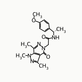 COc1ccc([C@H](C)NC(=O)Cn2nc(C)c3c(c(C)nn3C)c2=O)cc1